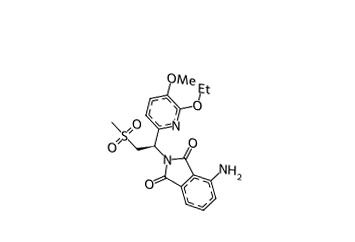 CCOc1nc([C@H](CS(C)(=O)=O)N2C(=O)c3cccc(N)c3C2=O)ccc1OC